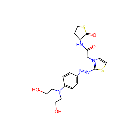 O=C(C[n+]1ccsc1/N=N/c1ccc(N(CCO)CCO)cc1)NC1CCSC1=O